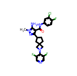 Cn1nc(C2CCC3(C2)CN(c2c(F)cncc2F)C3)c(C(=O)Nc2ccc(F)c(Cl)c2)c1N